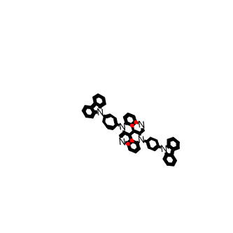 C1#CC(N(c2ccccc2)c2cnc#cc2C2=C(N(C3=CC=C(n4c5ccccc5c5ccccc54)CC3)c3ccccc3)C=NCC2)=CC=C(n2c3ccccc3c3ccccc32)C1